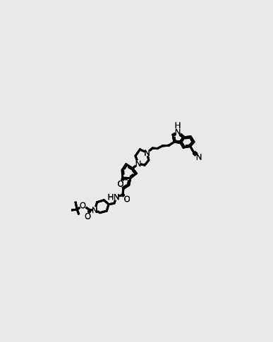 CC(C)(C)OC(=O)N1CCC(CNC(=O)c2cc3cc(N4CCN(CCCCc5c[nH]c6ccc(C#N)cc56)CC4)ccc3o2)CC1